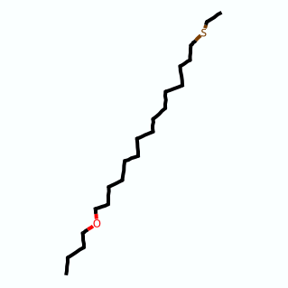 CCCCOCCCCCCCCCCCCCCCSCC